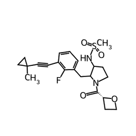 CC1(C#Cc2cccc(CC3C(NS(C)(=O)=O)CCN3C(=O)[C@H]3CCO3)c2F)CC1